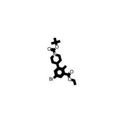 CCOC(=O)c1cc(Br)cc(C2CCN(C(=O)OC(C)(C)C)CC2)c1C